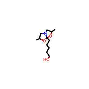 CC1CN2CC(C)OC2(CCCCCO)O1